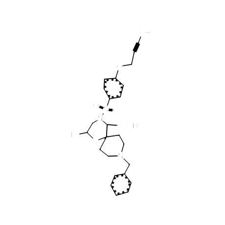 CC#CCOc1ccc(S(=O)(=O)N2CC(CC)SC3(CCN(Cc4ccccc4)CC3)C2C(=O)O)cc1